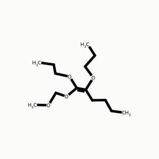 CCCCC(OCCC)=C(OCCC)OCOC